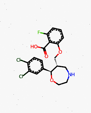 O=C(O)c1c(F)cccc1OC[C@@H]1CNCCO[C@H]1c1ccc(Cl)c(Cl)c1